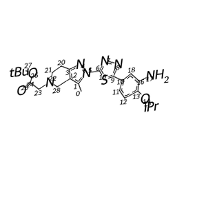 Cc1c2c(nn1-c1nnc(-c3ccc(OC(C)C)c(N)c3)s1)CCN(CC(=O)OC(C)(C)C)C2